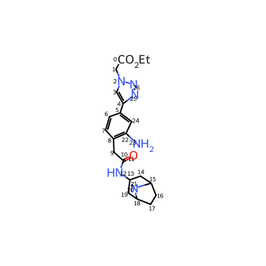 CCOC(=O)Cn1cc(-c2ccc(CC(=O)NC3CC4CCC(C3)N4C)c(N)c2)nn1